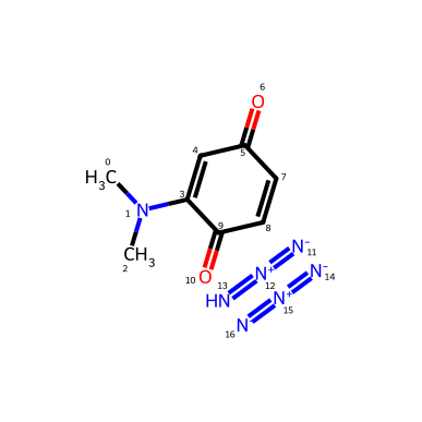 CN(C)C1=CC(=O)C=CC1=O.[N-]=[N+]=N.[N-]=[N+]=[N-]